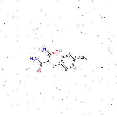 NC(=O)C(Cc1ccc(C(F)(F)F)cc1)C(N)=O